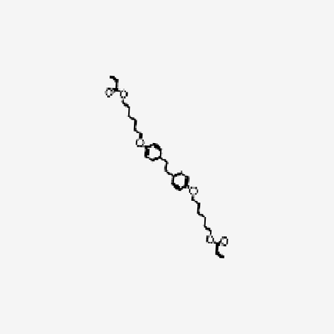 C=CC(=O)OCCCCCCOc1ccc(/C=C/c2ccc(OCCCCCCOC(=O)C=C)cc2)cc1